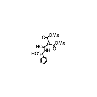 COC(=O)C1C(C(=O)OC)C1[C@H](C#N)N[C@@H](CO)c1ccccc1